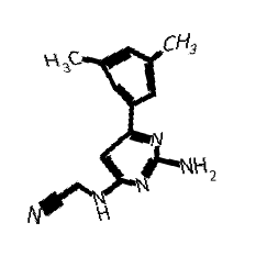 Cc1cc(C)cc(-c2cc(NCC#N)nc(N)n2)c1